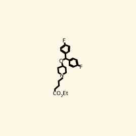 CCOC(=O)CCCCN1CCC(OC(c2ccc(F)cc2)c2ccc(F)cc2)CC1